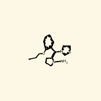 CCCOc1ccccc1C(=C1CCCN1N)n1ccnc1